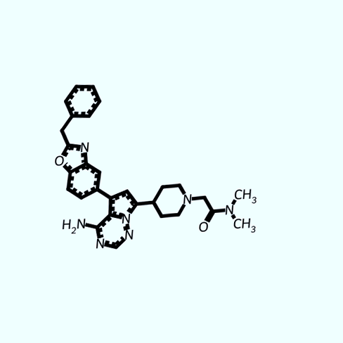 CN(C)C(=O)CN1CCC(c2cc(-c3ccc4oc(Cc5ccccc5)nc4c3)c3c(N)ncnn23)CC1